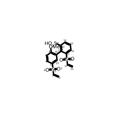 C=CS(=O)(=O)c1ccc(OC)c(-c2c(S(=O)(=O)O)[c]ccc2S(=O)(=O)C=C)c1